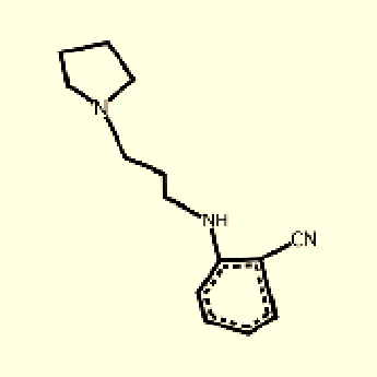 N#Cc1ccccc1NCCCN1CCCC1